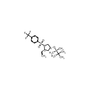 C=C[C@@H]1C[C@@H](O[Si](C)(C)C(C)(C)C)CN1S(=O)(=O)c1ccc(C(F)(F)F)cc1